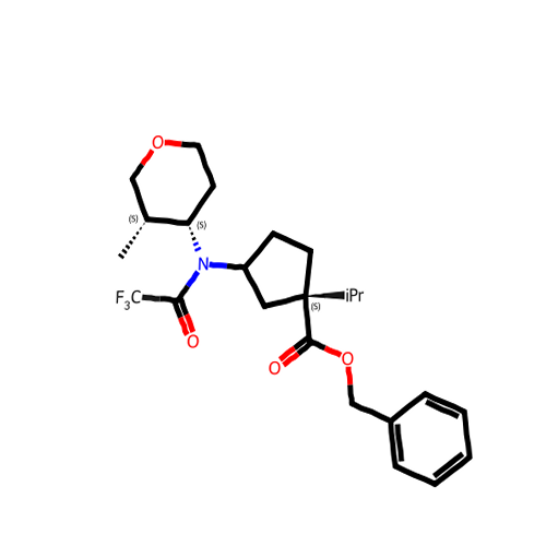 CC(C)[C@]1(C(=O)OCc2ccccc2)CCC(N(C(=O)C(F)(F)F)[C@H]2CCOC[C@H]2C)C1